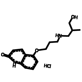 CC(CO)CNCCCOc1cccc2[nH]c(=O)ccc12.Cl